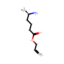 C=CCOC(=O)CCC[C@@H](C)N